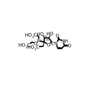 O=C(O)CON(CC(=O)O)[C@@]1(CC(=O)O)O[C@@H](n2ccc(=O)[nH]c2=O)[C@H](O)[C@@H]1O